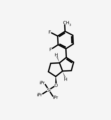 Cc1ccc(C2=CC[C@H]3[C@@H](O[Si](C(C)C)(C(C)C)C(C)C)CC[C@@H]23)c(F)c1F